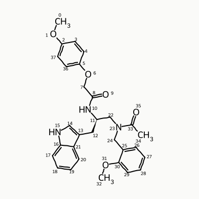 COc1ccc(OCC(=O)N[C@H](Cc2c[nH]c3ccccc23)CN(Cc2ccccc2OC)C(C)=O)cc1